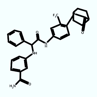 NC(=O)c1cccc(NC(C(=O)Nc2ccc(N3C(=O)C4CCC3CC4)c(C(F)(F)F)c2)c2ccccc2)c1